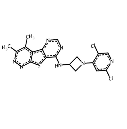 Cc1nnc2sc3c(NC4CN(c5cc(Cl)ncc5Cl)C4)ncnc3c2c1C